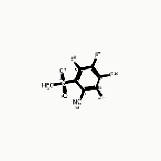 CS(=O)(=O)c1c(F)c(F)c(F)c(F)c1C#N